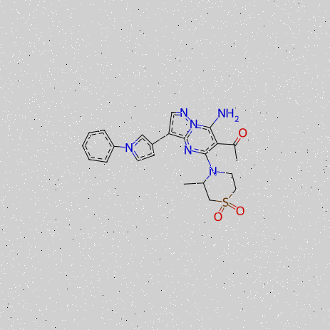 CC(=O)c1c(N2CCS(=O)(=O)CC2C)nc2c(-c3ccn(-c4ccccc4)c3)cnn2c1N